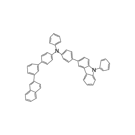 c1ccc(N(c2ccc(-c3cccc(-c4ccc5ccccc5c4)c3)cc2)c2ccc(-c3ccc4c(c3)c3ccccc3n4-c3ccccc3)cc2)cc1